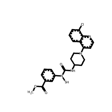 COC(=O)c1cccc(N(S)C(=O)NC2CCN(c3ccnc4c(Cl)cccc34)CC2)c1